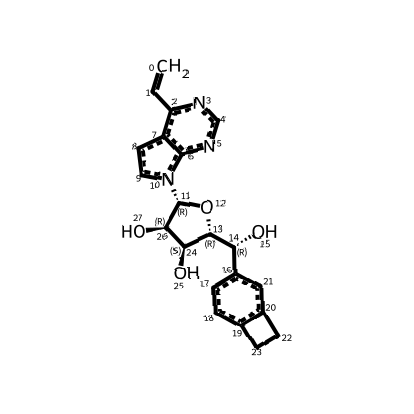 C=Cc1ncnc2c1ccn2[C@@H]1O[C@H]([C@H](O)c2ccc3c(c2)CC3)[C@@H](O)[C@H]1O